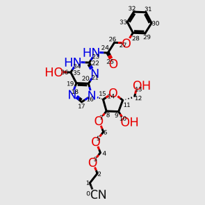 N#CCCOCOCOC1C(O)[C@@H](CO)O[C@H]1n1cnc2c1N=C(NC(=O)COc1ccccc1)NC2O